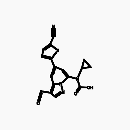 N#Cc1ccc(-c2cc(N(C(=O)O)C3CC3)n3ncc(C=O)c3n2)s1